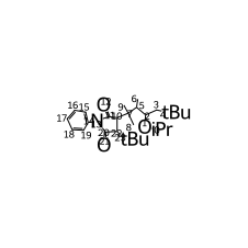 CC(C)OC(CC(C)(C)C)C(C)C(C)(C)C1C(=O)N(c2ccccc2)C(=O)C1C(C)(C)C